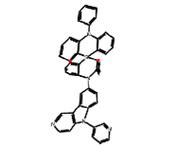 c1ccc(N2c3ccccc3[Si]3(c4ccccc42)c2ccccc2N(c2ccc4c(c2)c2cnccc2n4-c2cccnc2)c2ccccc23)cc1